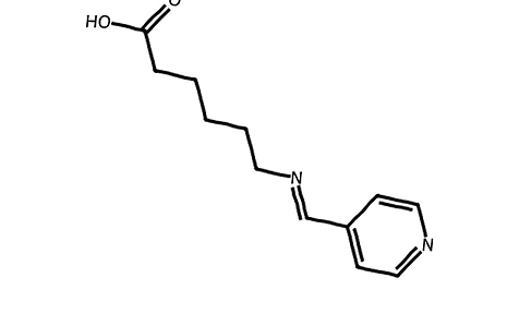 O=C(O)CCCCCN=Cc1ccncc1